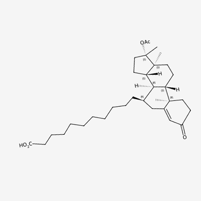 CC(=O)O[C@@]1(C)CC[C@H]2[C@@H]3[C@H](CCCCCCCCCCC(=O)O)CC4=CC(=O)CC[C@]4(C)[C@H]3CC[C@@]21C